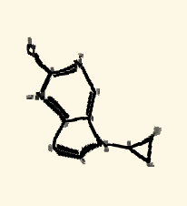 Clc1ncc2c(ccn2C2CC2)n1